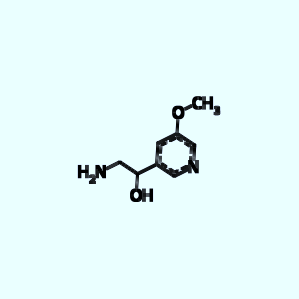 COc1cncc(C(O)CN)c1